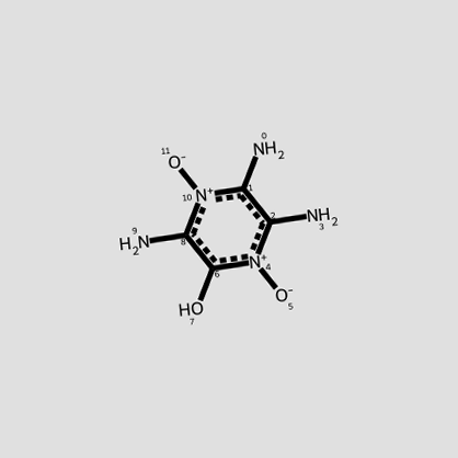 Nc1c(N)[n+]([O-])c(O)c(N)[n+]1[O-]